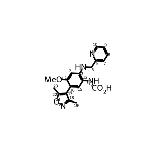 COc1cc(NCc2ccccn2)c(NC(=O)O)cc1-c1c(C)noc1C